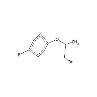 CC(CBr)Oc1ccc(F)cc1